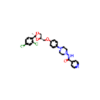 C[C@]1(c2ccc(Cl)cc2Cl)OC[C@@H](COc2ccc(N3CCN(NC(=O)c4ccncc4)CC3)cc2)O1